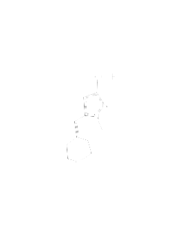 CCOC(=O)c1cc(C=C2CCOCC2)n(C)n1